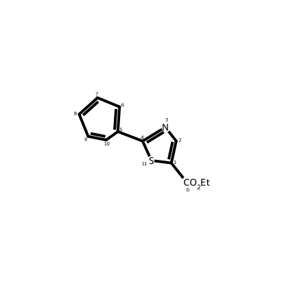 CCOC(=O)c1cnc(-c2ccccc2)s1